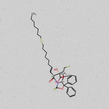 CCCCCCCSCCCCCCC=C[C@H](C(=O)N1C(=S)OC(c2ccccc2)(c2ccccc2)[C@@H]1C(C)C)[C@@](O)(CCF)C(=O)O